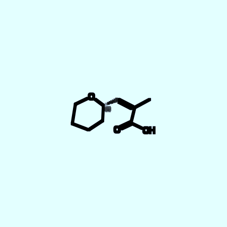 CC(=C[C@@H]1CCCCO1)C(=O)O